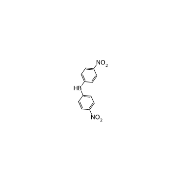 O=[N+]([O-])c1ccc(Bc2ccc([N+](=O)[O-])cc2)cc1